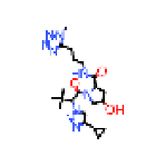 Cn1nnnc1CCCNC(=O)C1CC(O)CN1C(=O)[C@@H](n1cc(C2CC2)nn1)C(C)(C)C